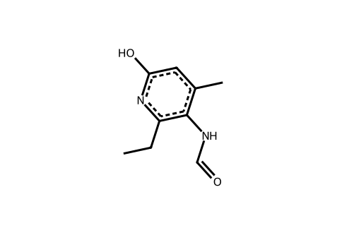 CCc1nc(O)cc(C)c1NC=O